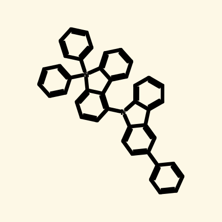 c1ccc(-c2ccc3c(c2)c2ccccc2n3-c2cccc3c2-c2ccccc2[Si]3(c2ccccc2)c2ccccc2)cc1